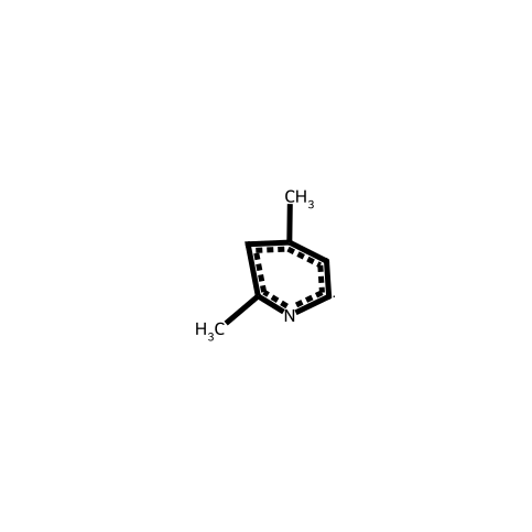 Cc1c[c]nc(C)c1